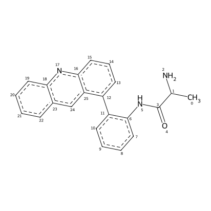 CC(N)C(=O)Nc1ccccc1-c1cccc2nc3ccccc3cc12